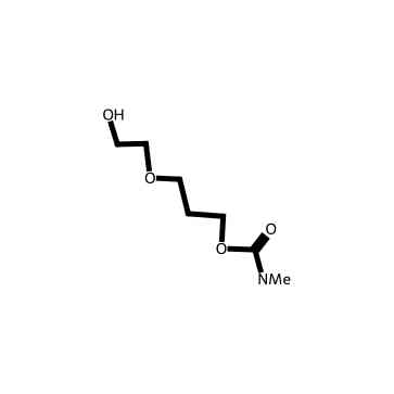 CNC(=O)OCCCOCCO